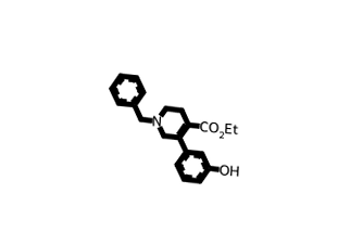 CCOC(=O)C1=C(c2cccc(O)c2)CN(Cc2ccccc2)CC1